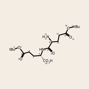 CC(C)(C)OC(=O)CC[C@H](NC(=O)[C@@H](N)CCC(=O)OC(C)(C)C)C(=O)O